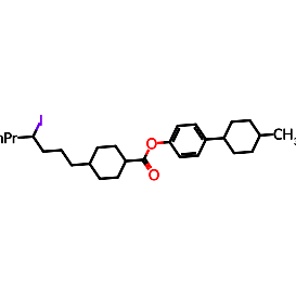 CCCC(I)CCCC1CCC(C(=O)Oc2ccc(C3CCC(C)CC3)cc2)CC1